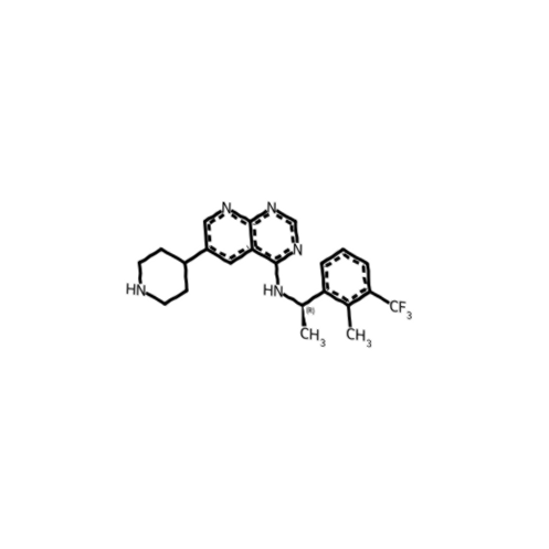 Cc1c([C@@H](C)Nc2ncnc3ncc(C4CCNCC4)cc23)cccc1C(F)(F)F